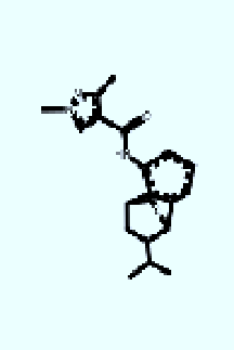 CC(C)C1CC2CCC1c1cccc(NC(=O)c3cn(C)nc3I)c12